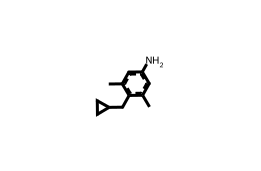 Cc1cc(N)cc(C)c1CC1CC1